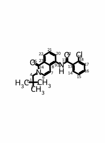 CC(C)(C)Cn1ccc2c(NC(=O)c3ccccc3Cl)cccc2c1=O